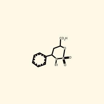 CCN1C(c2ccccc2)CC(C(=O)O)OS1(=O)=O